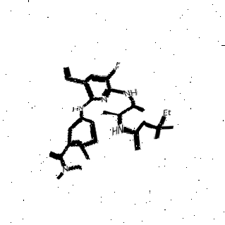 C=Cc1cc(F)c(NC(C)[C@H](C)NC(=C)CC(C)(C)CC)nc1Nc1ccc(C)c(C(=C)N(C)C)c1